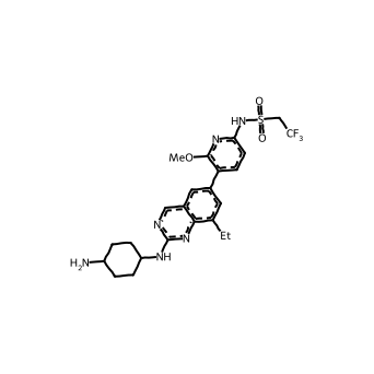 CCc1cc(-c2ccc(NS(=O)(=O)CC(F)(F)F)nc2OC)cc2cnc(NC3CCC(N)CC3)nc12